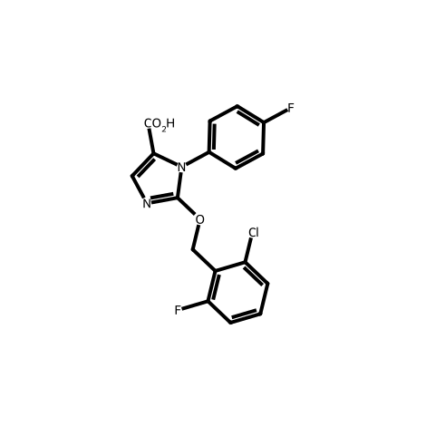 O=C(O)c1cnc(OCc2c(F)cccc2Cl)n1-c1ccc(F)cc1